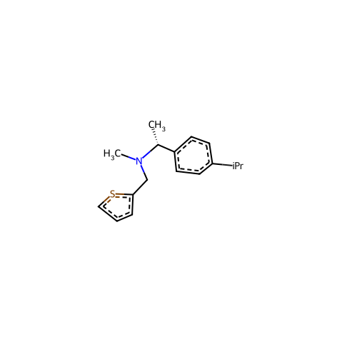 CC(C)c1ccc([C@@H](C)N(C)Cc2cccs2)cc1